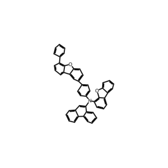 c1ccc(-c2cccc3c2oc2ccc(-c4ccc(N(c5cc6ccccc6c6ccccc56)c5cccc6c5oc5ccccc56)cc4)cc23)cc1